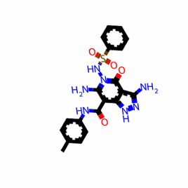 Cc1ccc(NC(=O)c2c(N)n(NS(=O)(=O)c3ccccc3)c(=O)c3c(N)n[nH]c23)cc1